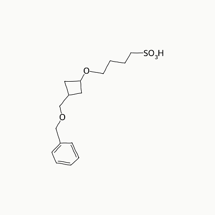 O=S(=O)(O)CCCCOC1CC(COCc2ccccc2)C1